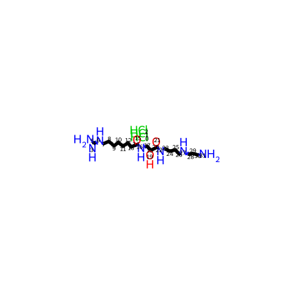 Cl.Cl.Cl.N=C(N)NCCCCCCCC(=O)NCC(O)C(=O)NCCCCNCCCN